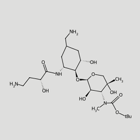 CN(C(=O)OC(C)(C)C)[C@@H]1[C@@H](O)[C@@H](O[C@@H]2[C@@H](O)CC(CN)C[C@H]2NC(=O)[C@H](O)CCN)OC[C@]1(C)O